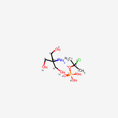 CC(C)(Cl)OP(=O)(O)O.NC(CO)(CO)CO